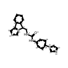 O=C(NCC1c2ccccc2-c2cncn21)Nc1ccc(-n2ccnc2)cc1